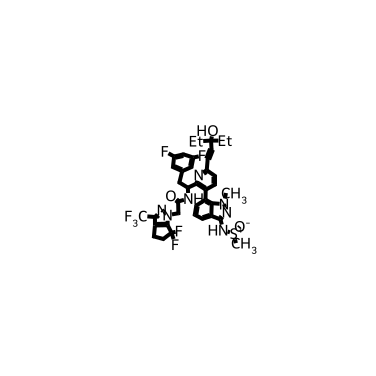 CCC(O)(C#Cc1ccc(-c2cccc3c(N[S+](C)[O-])nn(C)c23)c(C(Cc2cc(F)cc(F)c2)NC(=O)Cn2nc(C(F)(F)F)c3c2C(F)(F)CC3)n1)CC